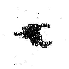 CN[C@@H]1[C@H](O)[C@@H](O[C@@H]2OC[C@@H](O)[C@H](O)[C@H]2O)[C@H](O[C@H]2c3cc(C)c(C(=O)N[C@@H](CO)C(=O)O)c(O)c3-c3c(cc4c(c3O)C(=O)c3cc(OC)cc(O)c3C4=O)[C@@H]2O)O[C@@H]1C